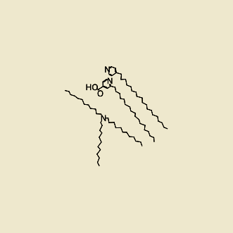 CCCCCCCCCCCCCCCCCCCc1ccncc1.CCCCCCCCCCCCCCCCCCc1cc(C(=O)O)ccn1.CCCCCCCCCCCCN(CCCCCCCCCCCC)CCCCCCCCCCCC